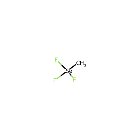 C[Se](F)(F)F